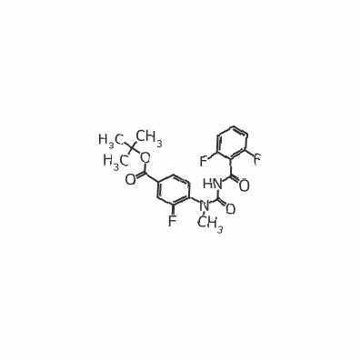 CN(C(=O)NC(=O)c1c(F)cccc1F)c1ccc(C(=O)OC(C)(C)C)cc1F